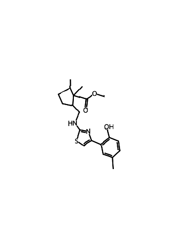 COC(=O)C1(C)C(C)CCC1CNc1nc(-c2cc(C)ccc2O)cs1